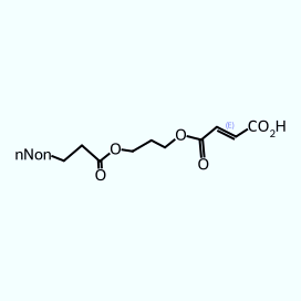 CCCCCCCCCCCC(=O)OCCCOC(=O)/C=C/C(=O)O